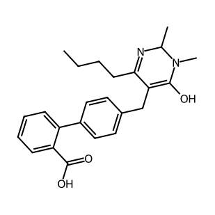 CCCCC1=NC(C)N(C)C(O)=C1Cc1ccc(-c2ccccc2C(=O)O)cc1